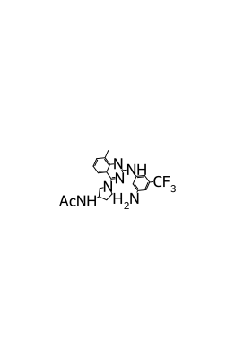 CC(=O)NC1CCN(c2nc(Nc3cc(N)cc(C(F)(F)F)c3)nc3c(C)cccc23)C1